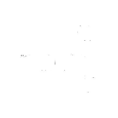 COc1ccc(Cc2sc(-c3ccccc3)cc2-c2ccccc2)cc1